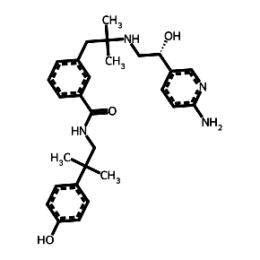 CC(C)(Cc1cccc(C(=O)NCC(C)(C)c2ccc(O)cc2)c1)NC[C@H](O)c1ccc(N)nc1